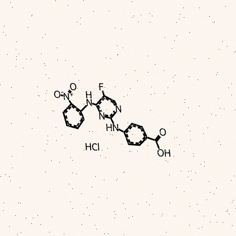 Cl.O=C(O)c1ccc(Nc2ncc(F)c(Nc3ccccc3[N+](=O)[O-])n2)cc1